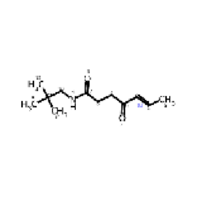 C/C=C/C(=O)CCC(=O)NCC(C)(C)C